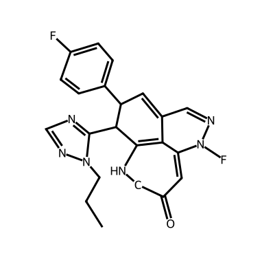 CCCn1ncnc1C1C2=C3C(=CC1c1ccc(F)cc1)C=NN(F)C3=CC(=O)CN2